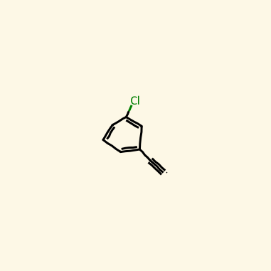 [C]#Cc1cccc(Cl)c1